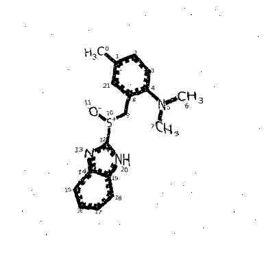 Cc1ccc(N(C)C)c(C[S+]([O-])c2nc3ccccc3[nH]2)c1